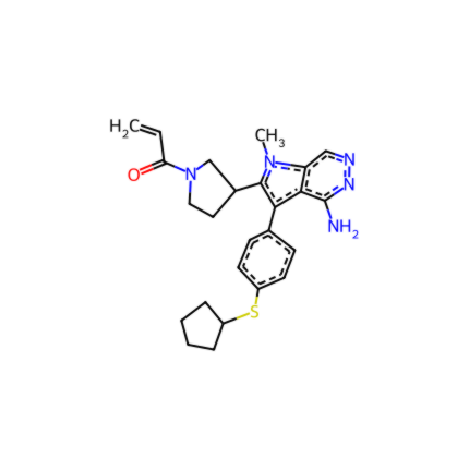 C=CC(=O)N1CCC(c2c(-c3ccc(SC4CCCC4)cc3)c3c(N)nncc3n2C)C1